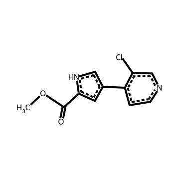 COC(=O)c1cc(-c2ccncc2Cl)c[nH]1